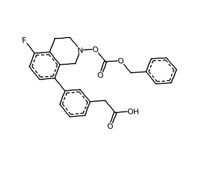 O=C(O)Cc1cccc(-c2ccc(F)c3c2CN(OC(=O)OCc2ccccc2)CC3)c1